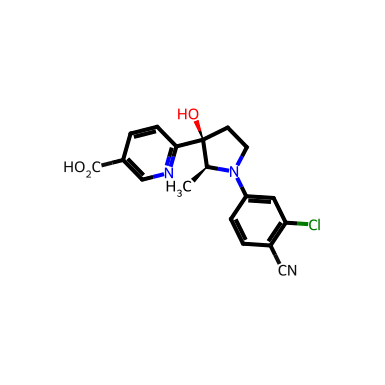 C[C@@H]1N(c2ccc(C#N)c(Cl)c2)CC[C@@]1(O)c1ccc(C(=O)O)cn1